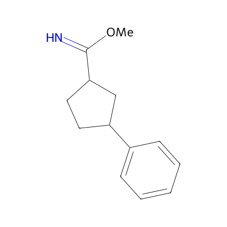 COC(=N)C1CCC(c2ccccc2)C1